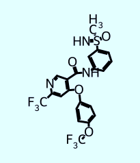 CS(=N)(=O)c1cccc(NC(=O)c2cnc(C(F)(F)F)cc2Oc2ccc(OC(F)(F)F)cc2)c1